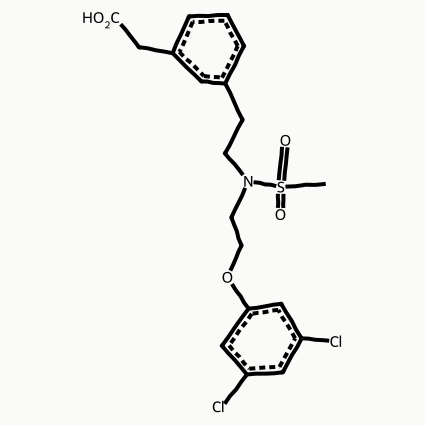 CS(=O)(=O)N(CCOc1cc(Cl)cc(Cl)c1)CCc1cccc(CC(=O)O)c1